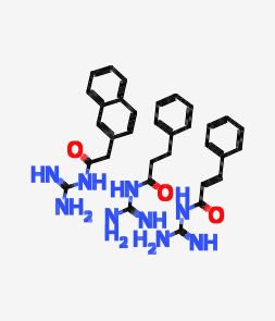 N=C(N)NC(=O)C=Cc1ccccc1.N=C(N)NC(=O)CCc1ccccc1.N=C(N)NC(=O)Cc1ccc2ccccc2c1